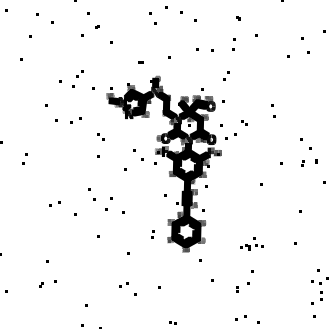 CN(CCN1C(=O)N(c2c(F)cc(C#Cc3ccccc3)cc2F)C(=O)CC1(C)C=O)c1cnn(C)c1